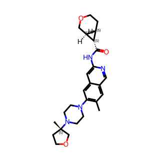 Cc1cc2cnc(NC(=O)[C@H]3[C@H]4CCOC[C@@H]43)cc2cc1N1CCN([C@@]2(C)CCOC2)CC1